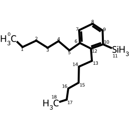 CCCCCCc1cccc([SiH3])c1CCCCCC